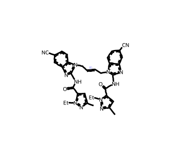 CCn1nc(C)cc1C(=O)Nc1nc2cc(C#N)ccc2n1C/C=C/Cn1c(NC(=O)c2cc(C)nn2CC)nc2cc(C#N)ccc21